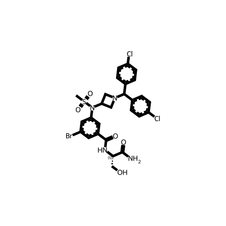 CS(=O)(=O)N(c1cc(Br)cc(C(=O)N[C@@H](CO)C(N)=O)c1)C1CN(C(c2ccc(Cl)cc2)c2ccc(Cl)cc2)C1